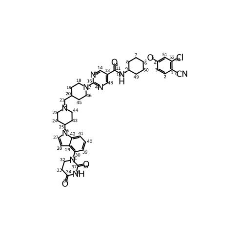 N#Cc1ccc(O[C@H]2CC[C@H](NC(=O)c3cnc(N4CCC(CN5CCC(n6ccc7c(N8CCC(=O)NC8=O)cccc76)CC5)CC4)nc3)CC2)cc1Cl